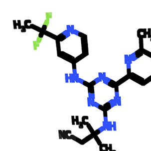 Cc1cccc(-c2nc(Nc3ccnc(C(C)(F)F)c3)nc(NC(C)(C)CC#N)n2)n1